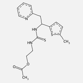 CC(=O)OCCNC(=S)NC(Cc1ccccn1)c1ccc(C)s1